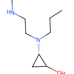 CCCN(CCNC)[C@H]1CC1O